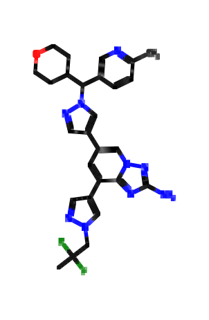 CC(F)(F)Cn1cc(-c2cc(-c3cnn(C(c4ccc(C(F)(F)F)nc4)C4CCOCC4)c3)cn3nc(N)nc23)cn1